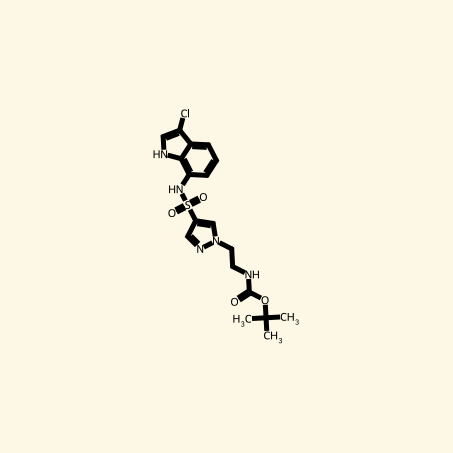 CC(C)(C)OC(=O)NCCn1cc(S(=O)(=O)Nc2cccc3c(Cl)c[nH]c23)cn1